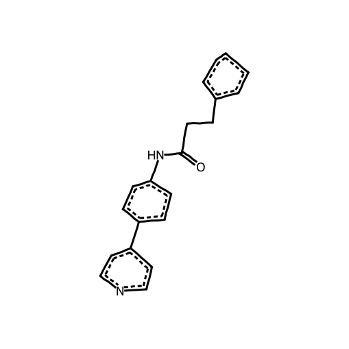 O=C(CCc1ccccc1)Nc1ccc(-c2ccncc2)cc1